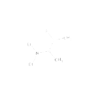 CCN(CC)C(C)C(C)F